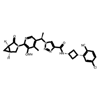 COc1c(N2C[C@H]3C[C@H]3C2=O)ncc([C@@H](C)n2cc(C(=O)N[C@H]3C[C@@H](c4cc(Cl)ccc4C#N)C3)nn2)c1C